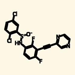 [O-][S+](Nc1ccc(F)c(C#Cc2cnccn2)c1F)c1cc(Cl)ccc1Cl